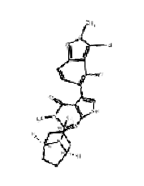 Cn1nc2ccc(-c3c[nH]c4nc(N5[C@@H]6CC[C@H]5C[C@@H](N)C6)n(C)c(=O)c34)c(Cl)c2c1Cl